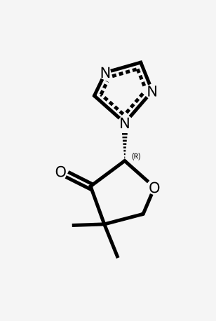 CC1(C)CO[C@@H](n2cncn2)C1=O